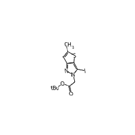 Cc1cc2nn(CC(=O)OC(C)(C)C)c(I)c2s1